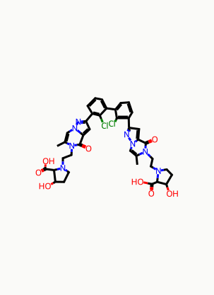 Cc1cn2nc(-c3cccc(-c4cccc(-c5cc6c(=O)n(CCN7CCC(O)C7C(=O)O)c(C)cn6n5)c4Cl)c3Cl)cc2c(=O)n1CCN1CCC(O)C1C(=O)O